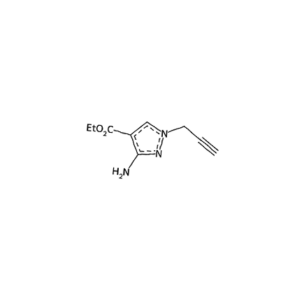 C#CCn1cc(C(=O)OCC)c(N)n1